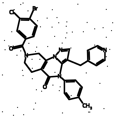 Cc1ccc(-n2c(=O)c3c(n4ncc(Cc5ccncc5)c24)CN(C(=O)c2ccc(Br)c(Cl)c2)CC3)cc1